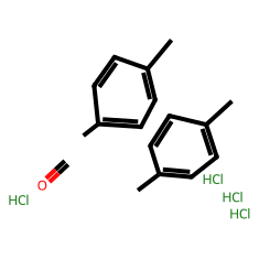 C=O.Cc1ccc(C)cc1.Cc1ccc(C)cc1.Cl.Cl.Cl.Cl